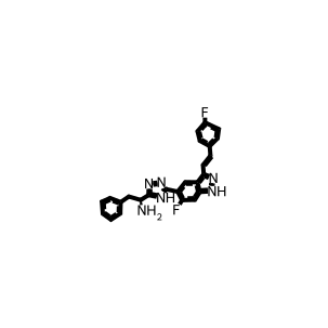 N[C@@H](Cc1ccccc1)c1nnc(-c2cc3c(C=Cc4ccc(F)cc4)n[nH]c3cc2F)[nH]1